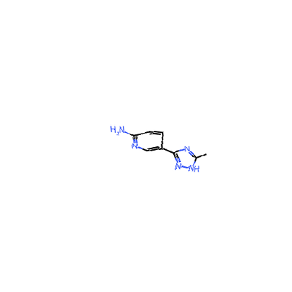 Cc1nc(-c2ccc(N)nc2)n[nH]1